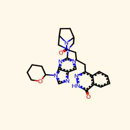 O=C(CCCc1n[nH]c(=O)c2ccccc12)N1C2CCC1CN(c1ncc3ncn(C4CCCCO4)c3n1)C2